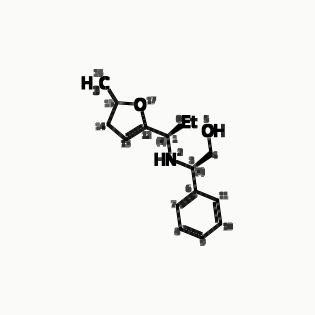 CC[C@@H](N[C@@H](CO)c1ccccc1)C1=CCC(C)O1